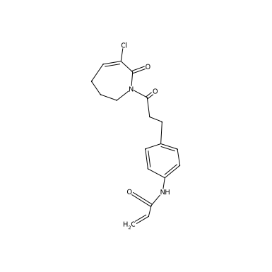 C=CC(=O)Nc1ccc(CCC(=O)N2CCCC=C(Cl)C2=O)cc1